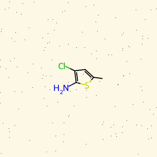 Cc1cc(Cl)c(N)s1